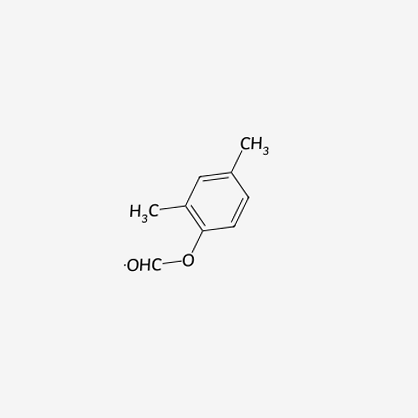 Cc1ccc(O[C]=O)c(C)c1